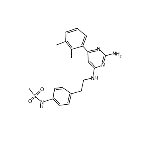 Cc1cccc(-c2cc(NCCc3ccc(NS(C)(=O)=O)cc3)nc(N)n2)c1C